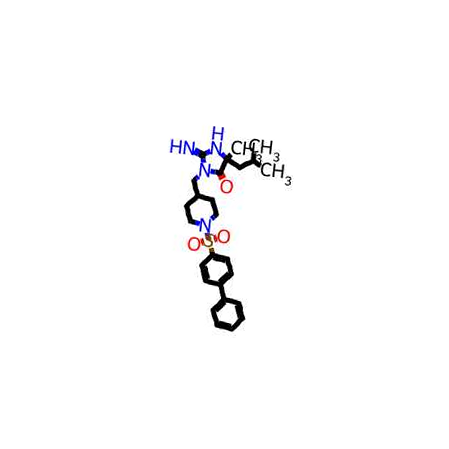 CC(C)CC1(C)NC(=N)N(CC2CCN(S(=O)(=O)c3ccc(-c4ccccc4)cc3)CC2)C1=O